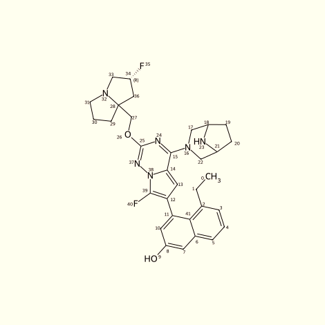 CCc1cccc2cc(O)cc(-c3cc4c(N5CC6CCC(C5)N6)nc(OCC56CCCN5C[C@H](F)C6)nn4c3F)c12